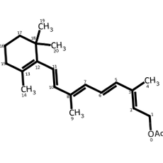 CC(=O)OCC=C(C)C=CC=C(C)C=CC1=C(C)CCCC1(C)C